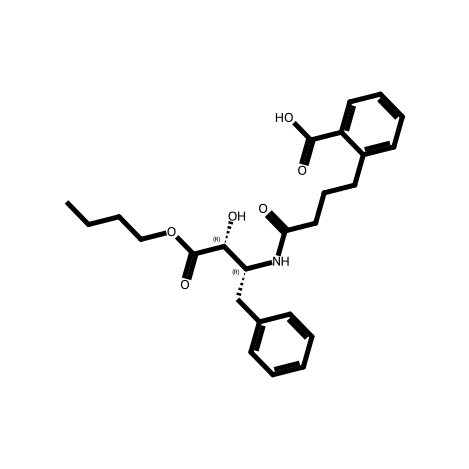 CCCCOC(=O)[C@H](O)[C@@H](Cc1ccccc1)NC(=O)CCCc1ccccc1C(=O)O